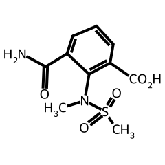 CN(c1c(C(N)=O)cccc1C(=O)O)S(C)(=O)=O